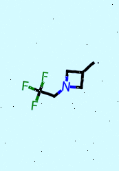 [CH2]C1CN(CC(F)(F)F)C1